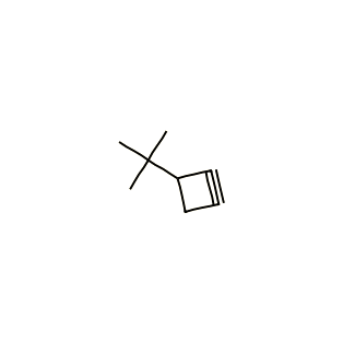 CC(C)(C)C1C#CC1